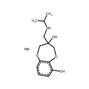 Br.CC(C)NCC1(O)COc2cccc(O)c2OC1